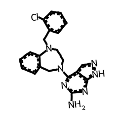 Nc1nc(N2CCN(Cc3ccccc3Cl)c3ccccc3C2)c2cn[nH]c2n1